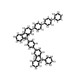 c1ccc(-c2ccc(-c3ccc(-c4ccc5c6ccccc6n(-c6ccc(-c7ccc8c(c7)c7ccccc7n8-c7ccccc7)cc6)c5c4)cc3)cc2)cc1